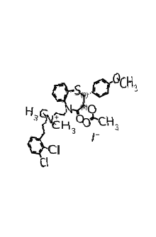 COc1ccc([C@H]2Sc3ccccc3N(CC[N+](C)(C)CCc3cccc(Cl)c3Cl)C(=O)[C@H]2OC(C)=O)cc1.[I-]